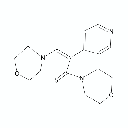 S=C(C(=CN1CCOCC1)c1ccncc1)N1CCOCC1